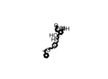 C[C@H](COCCN1CCC(CNC[C@H](O)c2ccc(O)c3[nH]c(=O)ccc23)CC1)c1ccccc1